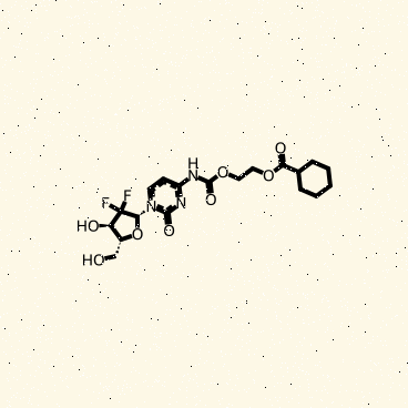 O=C(Nc1ccn([C@@H]2O[C@H](CO)[C@@H](O)C2(F)F)c(=O)n1)OCCOC(=O)C1CCCCC1